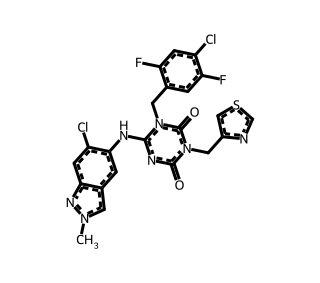 Cn1cc2cc(Nc3nc(=O)n(Cc4cscn4)c(=O)n3Cc3cc(F)c(Cl)cc3F)c(Cl)cc2n1